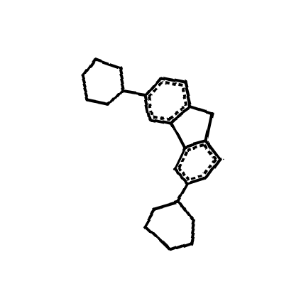 [c]1cc(C2CCCCC2)cc2c1Cc1ccc(C3CCCCC3)cc1-2